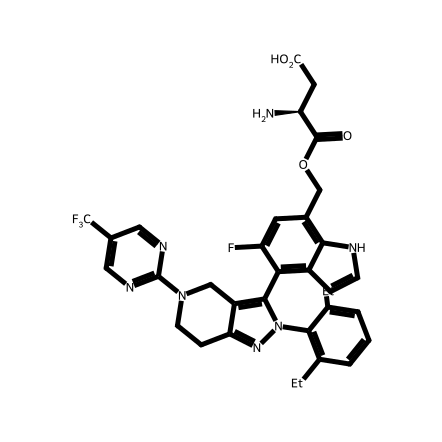 CCc1cccc(CC)c1-n1nc2c(c1-c1c(F)cc(COC(=O)[C@@H](N)CC(=O)O)c3[nH]ccc13)CN(c1ncc(C(F)(F)F)cn1)CC2